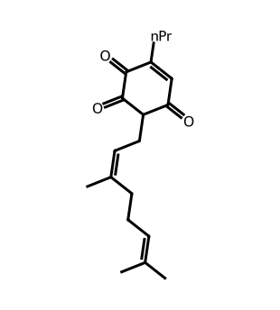 CCCC1=CC(=O)C(CC=C(C)CCC=C(C)C)C(=O)C1=O